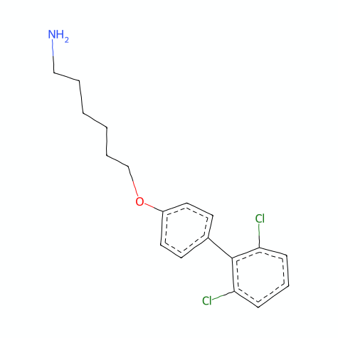 NCCCCCCOc1ccc(-c2c(Cl)cccc2Cl)cc1